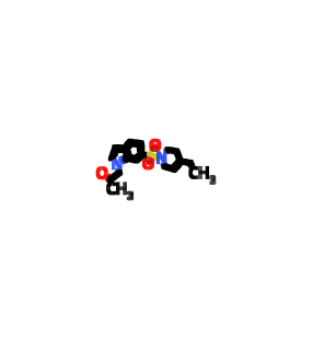 CCC1=CCN(S(=O)(=O)c2ccc3ccn(CC(C)=O)c3c2)CC1